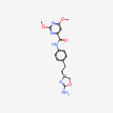 COc1cc(C(=O)Nc2ccc(CC[C@H]3COC(N)=N3)cc2)nc(OC)n1